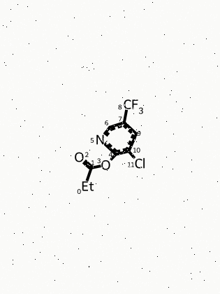 CCC(=O)Oc1ncc(C(F)(F)F)cc1Cl